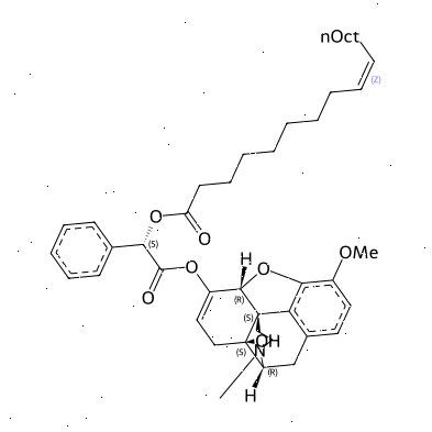 CCCCCCCC/C=C\CCCCCCCC(=O)O[C@H](C(=O)OC1=CC[C@@]2(O)[C@H]3Cc4ccc(OC)c5c4[C@@]2(CCN3C)[C@H]1O5)c1ccccc1